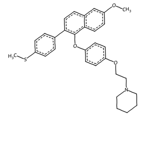 COc1ccc2c(Oc3ccc(OCCN4CCCCC4)cc3)c(-c3ccc(SC)cc3)ccc2c1